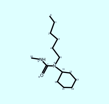 CCCCCCN(C(=O)NC)C1CCCCC1